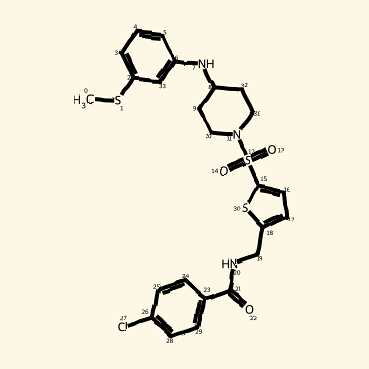 CSc1cccc(NC2CCN(S(=O)(=O)c3ccc(CNC(=O)c4ccc(Cl)cc4)s3)CC2)c1